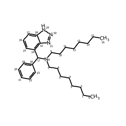 CCCCCCCCN(CCCCCCCC)C(c1ccccc1)c1cccc2[nH]nnc12